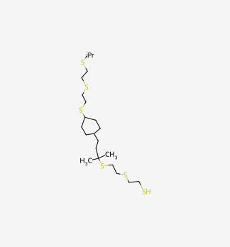 CC(C)SCCSCCSC1CCC(CCC(C)(C)SCCSCCS)CC1